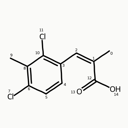 CC(=Cc1ccc(Cl)c(C)c1Cl)C(=O)O